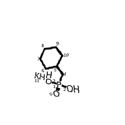 O=P(O)(O)CC1CCCCC1.[KH]